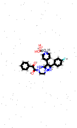 O.O=C(C(=O)N1CCn2nc(-c3ccc(F)cc3)c(-c3ccncc3)c2N1)c1ccccc1.O=S(=O)(O)O